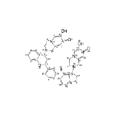 O=c1cc2n(cc1O)CCN(C1CC(c3ccccc3)Oc3ccccc31)C2.O=c1cc2n(cc1O)CCN(C1CCc3cccc(F)c31)C2